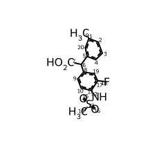 Cc1cccc(C(C(=O)O)c2ccc(NS(C)(=O)=O)c(F)c2)c1